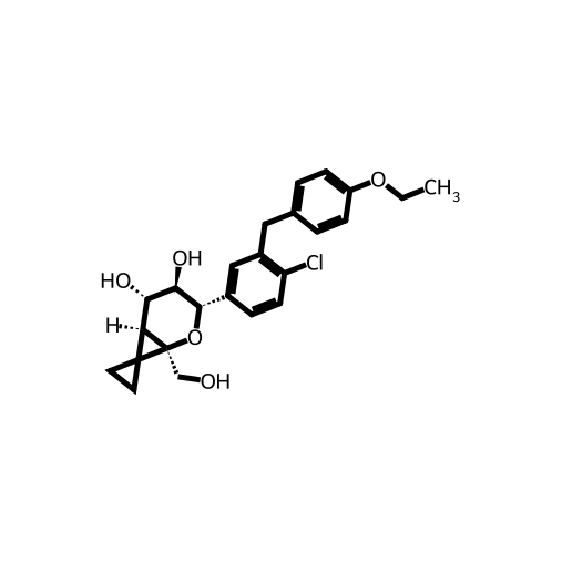 CCOc1ccc(Cc2cc([C@@H]3O[C@]4(CO)[C@H]([C@H](O)[C@H]3O)C43CC3)ccc2Cl)cc1